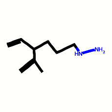 C=CC(CCCNN)C(=C)C